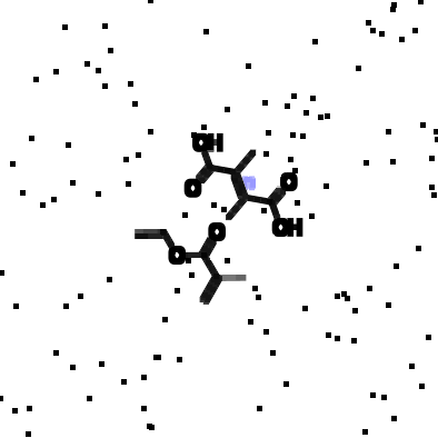 C/C(C(=O)O)=C(/C)C(=O)O.C=COC(=O)C(=C)C